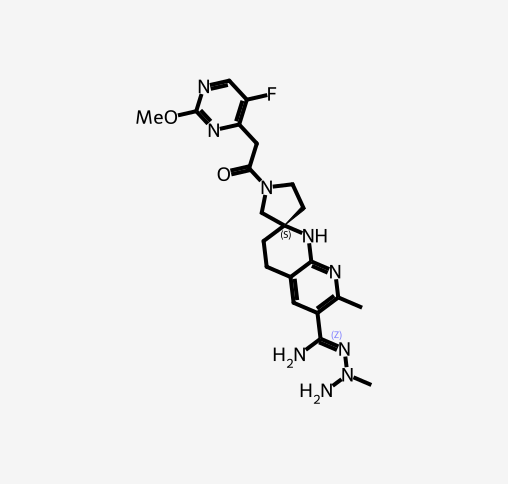 COc1ncc(F)c(CC(=O)N2CC[C@@]3(CCc4cc(/C(N)=N/N(C)N)c(C)nc4N3)C2)n1